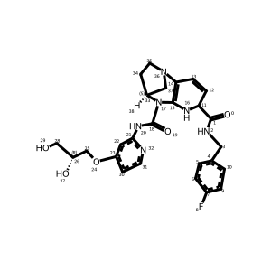 O=C(NCc1ccc(F)cc1)C1C=CC2=C(N1)N(C(=O)Nc1cc(OC[C@H](O)CO)ccn1)[C@H]1CCN2C1